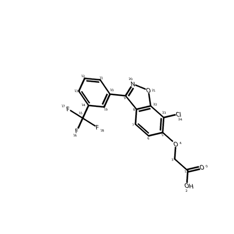 O=C(O)COc1ccc2c(-c3cccc(C(F)(F)F)c3)noc2c1Cl